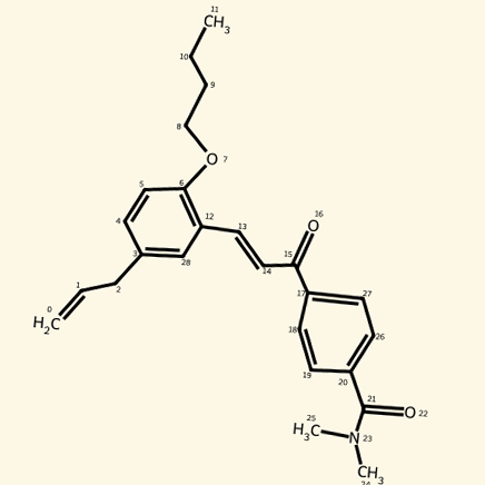 C=CCc1ccc(OCCCC)c(C=CC(=O)c2ccc(C(=O)N(C)C)cc2)c1